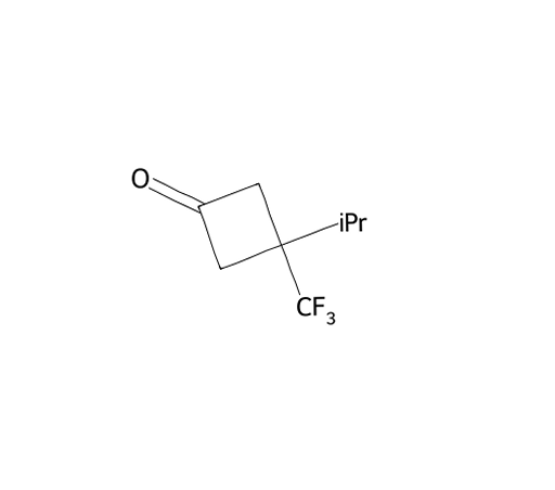 CC(C)C1(C(F)(F)F)CC(=O)C1